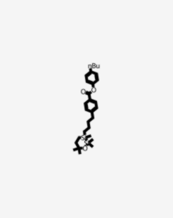 CCCCc1ccc(OC(=O)c2ccc(CCCC[Si]3(C)CCC(C)(C)O[Si]3(C)C)cc2)cc1